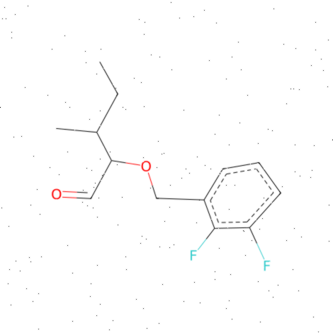 CCC(C)C(C=O)OCc1cccc(F)c1F